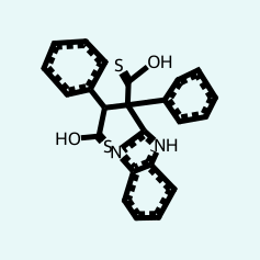 OC(=S)C(c1ccccc1)C(C(O)=S)(c1ccccc1)c1nc2ccccc2[nH]1